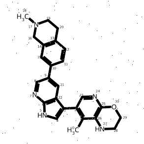 Cc1c(-c2c[nH]c3ncc(-c4ccc5c(c4)CN(C)CC5)cc23)cnc2c1NCCO2